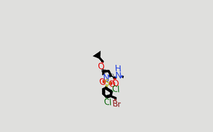 CNC(=O)[C@@H]1C[C@@H](OCC2CC2)CN1S(=O)(=O)c1ccc(Cl)c(CBr)c1Cl